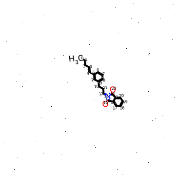 CCCC=Cc1cccc(CCCN2C(=O)c3ccccc3C2=O)c1